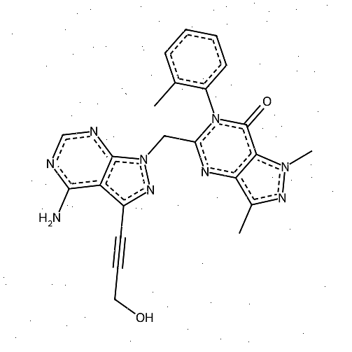 Cc1ccccc1-n1c(Cn2nc(C#CCO)c3c(N)ncnc32)nc2c(C)nn(C)c2c1=O